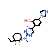 CC[C@@]1(C)CCC[C@@H](N(C)c2ncc(-c3ccc(-n4ccnc4)cc3O)nn2)[C@H]1F